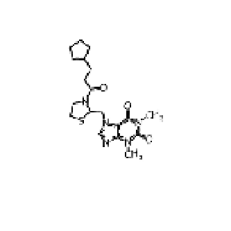 Cn1c(=O)c2c(ncn2CC2SCCN2C(=O)CCC2CCCC2)n(C)c1=O